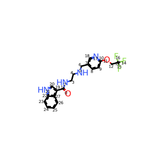 O=C(NCCNCc1ccc(OCC(F)(F)F)nc1)c1c[nH]c2ccccc12